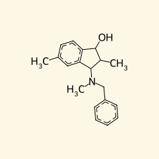 Cc1ccc2c(c1)C(N(C)Cc1ccccc1)C(C)C2O